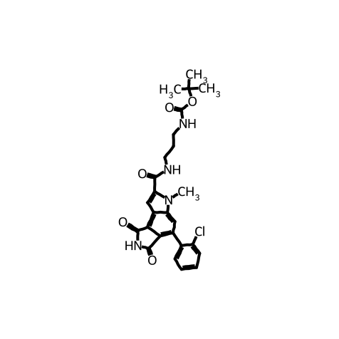 Cn1c(C(=O)NCCCNC(=O)OC(C)(C)C)cc2c3c(c(-c4ccccc4Cl)cc21)C(=O)NC3=O